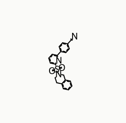 N#Cc1ccc(-c2cccc(S(=O)(=O)N3CCc4ccccc4C3)n2)cc1